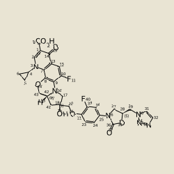 O=C(O)c1cn(C2CC2)c2c3c(c(F)cc2c1=O)N1C[C@](O)(COc2ccc(N4C[C@@H](Cn5ccnn5)OC4=O)cc2F)C[C@@H]1CO3